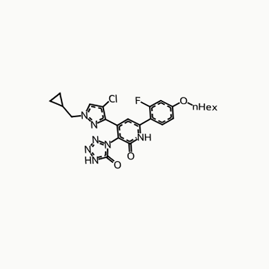 CCCCCCOc1ccc(-c2cc(-c3nn(CC4CC4)cc3Cl)c(-n3nn[nH]c3=O)c(=O)[nH]2)c(F)c1